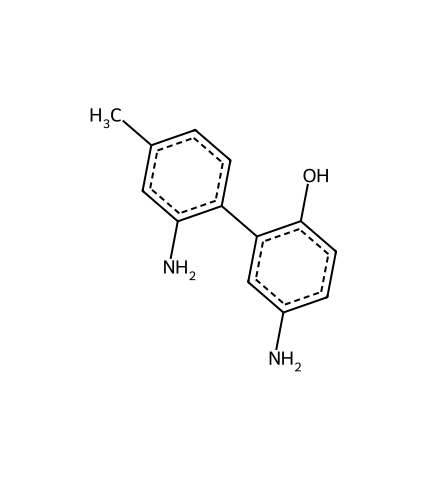 Cc1ccc(-c2cc(N)ccc2O)c(N)c1